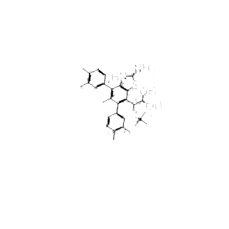 Cc1ccc(-c2c(C)c(-c3ccc(C)c(C)c3)c(C(OC(C)(C)C)C(O)O)c3c2NC(N)S3)cc1C